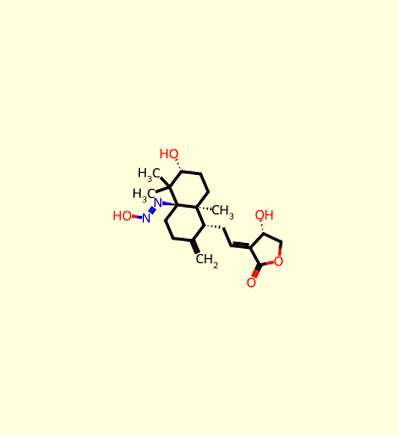 C=C1CC[C@]2(/N=N/O)C(C)(C)[C@H](O)CC[C@@]2(C)[C@@H]1C/C=C1/C(=O)OC[C@H]1O